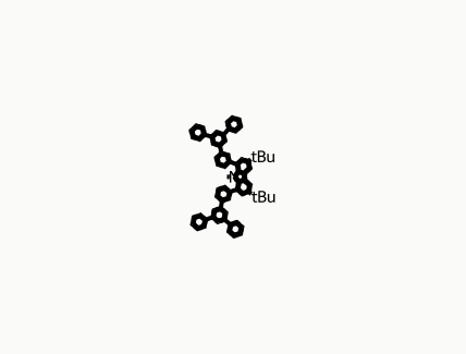 Cn1c2c(-c3cccc(-c4cc(-c5ccccc5)cc(-c5ccccc5)c4)c3)cc(C(C)(C)C)cc2c2cc(C(C)(C)C)cc(-c3cccc(-c4cc(-c5ccccc5)cc(-c5ccccc5)c4)c3)c21